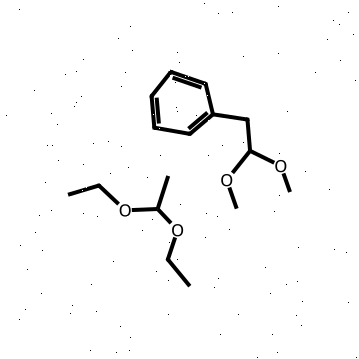 CCOC(C)OCC.COC(Cc1ccccc1)OC